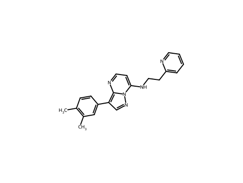 Cc1ccc(-c2cnn3c(NCCc4ccccn4)ccnc23)cc1C